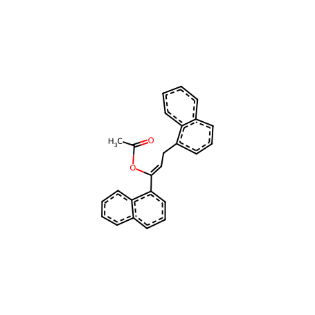 CC(=O)OC(=CCc1cccc2ccccc12)c1cccc2ccccc12